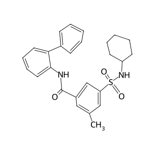 Cc1cc(C(=O)Nc2ccccc2-c2ccccc2)cc(S(=O)(=O)NC2CCCCC2)c1